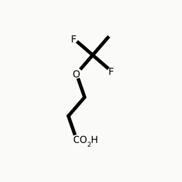 CC(F)(F)OCCC(=O)O